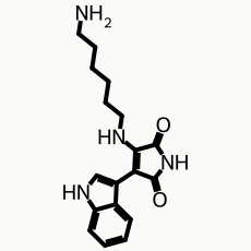 NCCCCCCNC1=C(c2c[nH]c3ccccc23)C(=O)NC1=O